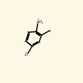 Cc1cc(Cl)[c]cc1[N+](=O)[O-]